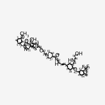 COc1cccc(CN(C)/N=C\c2c(C=O)n(C)c3nc(COCCN4CCC(C(=O)NCCC#Cc5ccc(OCc6ccc(F)c(C(F)(F)F)c6)c(CNCCO)c5)CC4)sc23)c1